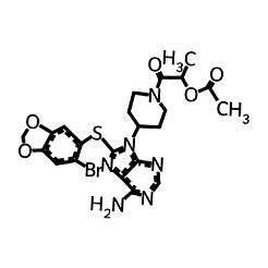 CC(=O)OC(C)C(=O)N1CCC(n2c(Sc3cc4c(cc3Br)OCO4)nc3c(N)ncnc32)CC1